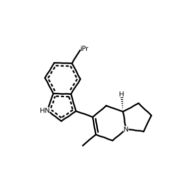 CC1=C(c2c[nH]c3ccc(C(C)C)cc23)C[C@H]2CCCN2C1